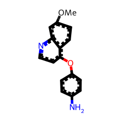 COc1ccc2c(Oc3ccc(N)cc3)ccnc2c1